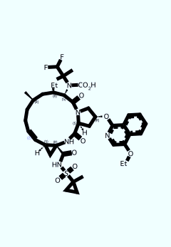 CCOc1cnc(O[C@@H]2C[C@H]3C(=O)N[C@]4(C(=O)NS(=O)(=O)C5(C)CC5)C[C@H]4/C=C\CC[C@@H](C)C[C@@H](CC)[C@H](N(C(=O)O)C(C)(C)C(F)F)C(=O)N3C2)c2ccccc12